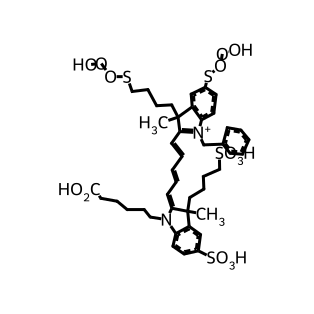 CC1(CCCCSOOO)C(/C=C/C=C/C=C2/N(CCCCCC(=O)O)c3ccc(S(=O)(=O)O)cc3C2(C)CCCCS(=O)(=O)O)=[N+](Cc2ccccc2)c2ccc(SOOO)cc21